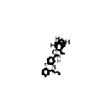 CCCC1=Nc2cc(C(=O)NC(C)C34C[C@H]5C[C@@H]6C[C@@H](C3)C6(C5)C4)ccc2Sc2ccccc21